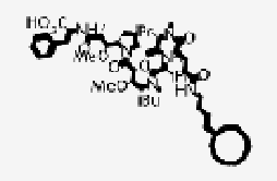 C=C(N[C@H](C(=O)N(C)C([C@@H](C)CC)[C@@H](CC(=O)N1CCC[C@H]1[C@H](OC)[C@@H](C)C(=O)N[C@@H](Cc1ccccc1)C(=O)O)OC)C(C)C)[C@H](C(C)C)N(C)C(=O)CCCC(=O)NCCCCC1CCCCCCCCC1